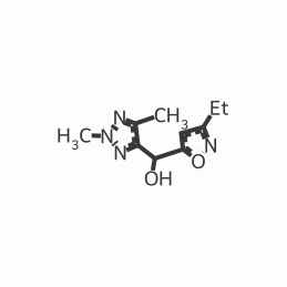 CCc1cc(C(O)c2nn(C)nc2C)on1